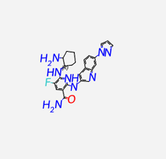 NC(=O)c1cc(F)c(N[C@@H]2CCCCC2N)nc1Nc1cnc2cc(-n3cccn3)ccc2c1